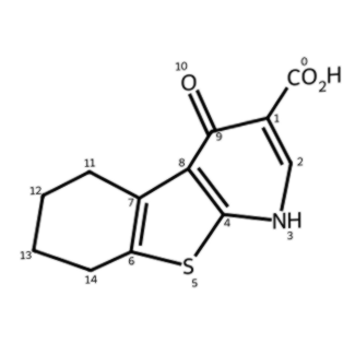 O=C(O)c1c[nH]c2sc3c(c2c1=O)CCCC3